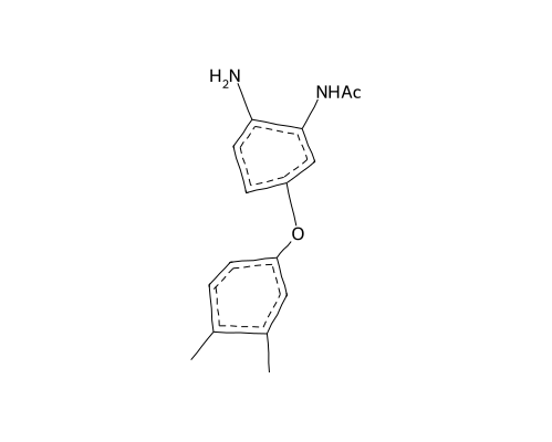 CC(=O)Nc1cc(Oc2ccc(C)c(C)c2)ccc1N